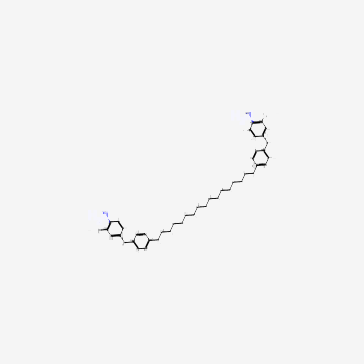 CCCCCCCCc1cc(Cc2ccc(CCCCCCCCCCCCCCCCCc3ccc(Cc4ccc(N)c(CCCCCCCC)c4)cc3)cc2)ccc1N